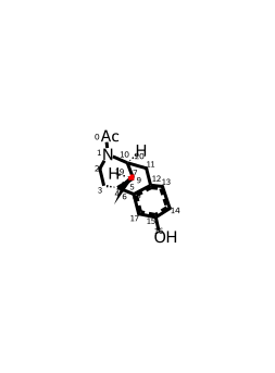 CC(=O)N1CC[C@@]23CCCC[C@@H]2[C@@H]1Cc1ccc(O)cc13